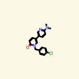 CN(C)c1ccc(-c2ccc(=O)n(Cc3ccc(Cl)cc3)c2)cn1